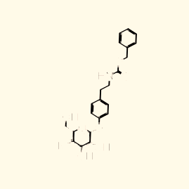 O=C(NCCc1ccc(O[C@@H]2O[C@H](CO)[C@H](O)[C@H](O)[C@H]2O)cc1)OCc1ccccc1